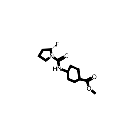 COC(=O)C1CCC(NC(=O)N2CCC[C@@H]2F)CC1